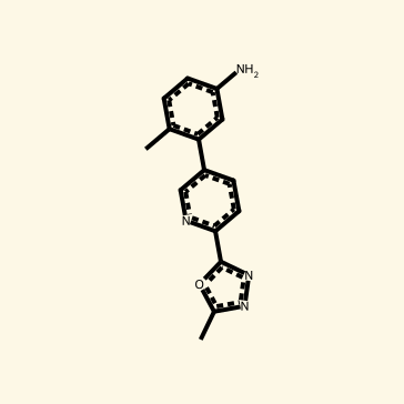 Cc1nnc(-c2ccc(-c3cc(N)ccc3C)cn2)o1